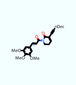 CCCCCCCCCCC#CC1=CCCN(C(=O)/C=C/c2cc(OC)c(OC)c(OC)c2)C1=O